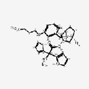 CCOC(=O)CCCOc1cccc(C[N+]2(C)[C@@H]3CC[C@H]2C[C@H](OC(=O)C(O)(c2ccco2)c2ccco2)C3)c1.[Br-]